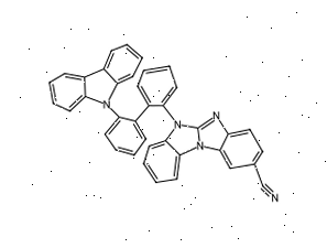 N#Cc1ccc2nc3n(-c4ccccc4-c4ccccc4-n4c5ccccc5c5ccccc54)c4ccccc4n3c2c1